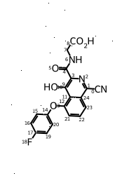 N#Cc1nc(C(=O)NCC(=O)O)c(O)c2c(Oc3ccc(F)cc3)cccc12